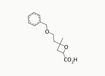 CC1(CCOCc2ccccc2)CC(C(=O)O)O1